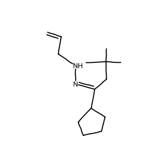 C=CCNN=C(CC(C)(C)C)C1CCCC1